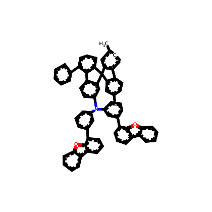 Cc1ccc2c(c1)C1(c3cc(C)ccc3-2)c2cc(N(c3cccc(-c4cccc5c4oc4ccccc45)c3)c3cccc(-c4cccc5c4oc4ccccc45)c3)ccc2-c2c(-c3ccccc3)cccc21